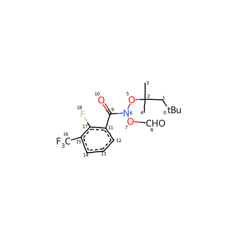 CC(C)(C)CC(C)(C)ON(OC=O)C(=O)c1cccc(C(F)(F)F)c1F